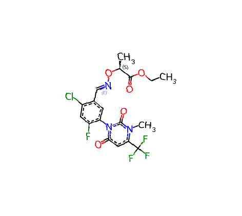 CCOC(=O)[C@H](C)O/N=C/c1cc(-n2c(=O)cc(C(F)(F)F)n(C)c2=O)c(F)cc1Cl